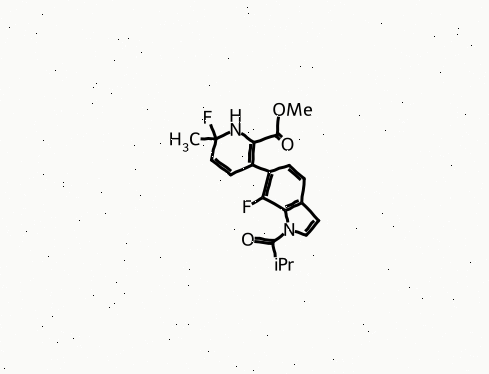 COC(=O)C1=C(c2ccc3ccn(C(=O)C(C)C)c3c2F)C=CC(C)(F)N1